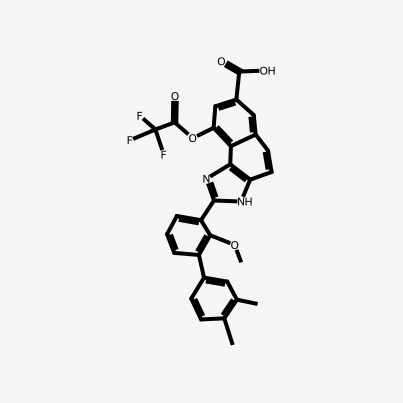 COc1c(-c2ccc(C)c(C)c2)cccc1-c1nc2c(ccc3cc(C(=O)O)cc(OC(=O)C(F)(F)F)c32)[nH]1